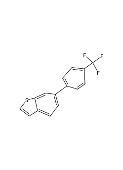 FC(F)(F)c1ccc(-c2ccc3ccsc3c2)cc1